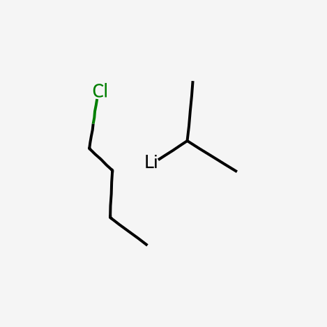 CCCCCl.[Li][CH](C)C